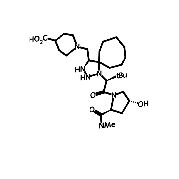 CNC(=O)[C@@H]1C[C@@H](O)CN1C(=O)[C@@H](N1NNC(CN2CCC(C(=O)O)CC2)C12CCCCCCC2)C(C)(C)C